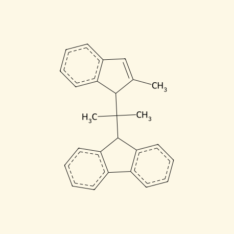 CC1=Cc2ccccc2C1C(C)(C)C1c2ccccc2-c2ccccc21